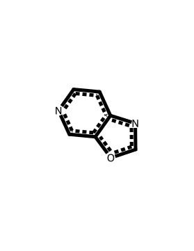 c1cc2ncoc2cn1